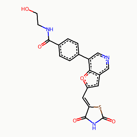 O=C1NC(=O)/C(=C/c2cc3cncc(-c4ccc(C(=O)NCCO)cc4)c3o2)S1